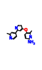 Cc1cc(-c2cc(Oc3ccc(N)nc3C)ccn2)ccn1